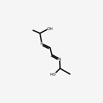 CC(O)N=CC=NC(C)O